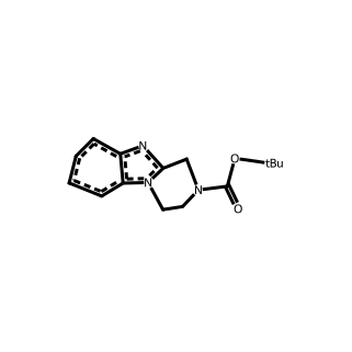 CC(C)(C)OC(=O)N1CCn2c(nc3ccccc32)C1